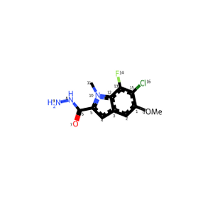 COc1cc2cc(C(=O)NN)n(C)c2c(F)c1Cl